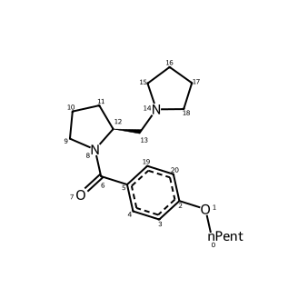 CCCCCOc1ccc(C(=O)N2CCC[C@H]2CN2CCCC2)cc1